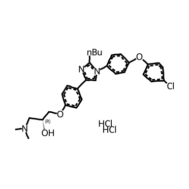 CCCCc1nc(-c2ccc(OC[C@H](O)CN(C)C)cc2)cn1-c1ccc(Oc2ccc(Cl)cc2)cc1.Cl.Cl